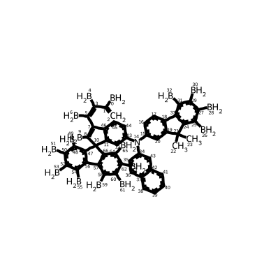 BC(=C)/C(B)=C(/B)C1=C(B)C2(c3cc(N(c4ccc5c(c4)C(C)(C)c4c(B)c(B)c(B)c(B)c4-5)c4ccc5ccccc5c4)ccc31)c1c(B)c(B)c(B)c(B)c1-c1c(B)c(B)c(B)c(B)c12